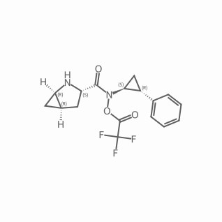 O=C([C@@H]1C[C@H]2C[C@H]2N1)N(OC(=O)C(F)(F)F)[C@H]1C[C@@H]1c1ccccc1